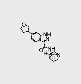 O=C(N[C@@H]1CN2CCC1CC2)c1n[nH]c2cc(C3CCOC3)ccc12